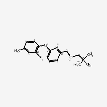 Cc1ccc(Oc2cccc(COCC(C)(C)C)n2)c(Br)c1